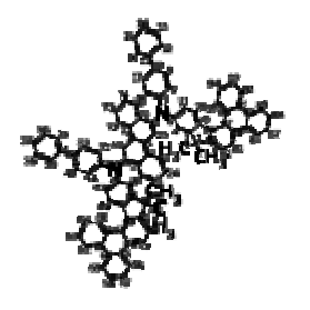 CC1(C)c2cc(N(c3ccc(-c4ccccc4)cc3)c3cc4c5ccccc5c(N(c5ccc(-c6ccccc6)cc5)c5ccc6c(c5)C(C)(C)c5ccc7c8ccccc8c8ccccc8c7c5-6)cc4c4ccccc34)ccc2-c2c1ccc1c3ccccc3c3ccccc3c21